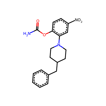 NC(=O)Oc1ccc([N+](=O)[O-])cc1N1CCC(Cc2ccccc2)CC1